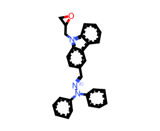 C(=N\N(c1ccccc1)c1ccccc1)/c1ccc2c(c1)c1ccccc1n2CC1CO1